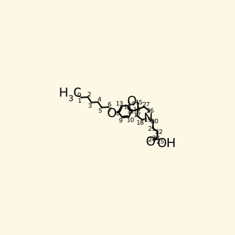 CCCCCCCOc1ccc2c(c1)OCC21CCN(CCCC(=O)O)CC1